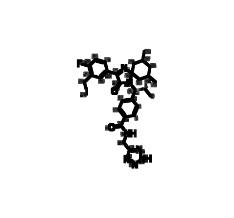 CC[C@H](c1ccc(C(=O)NCc2nn[nH]n2)cc1)N1C(=O)C(c2ccc(F)c(CI)c2)=NC12CC(C)CC(C)C2